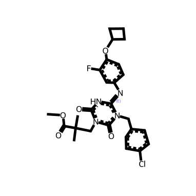 COC(=O)C(C)(C)Cn1c(=O)[nH]/c(=N\c2ccc(OC3CCC3)c(F)c2)n(Cc2ccc(Cl)cc2)c1=O